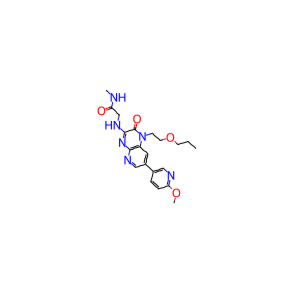 CCCOCCn1c(=O)c(NCC(=O)NC)nc2ncc(-c3ccc(OC)nc3)cc21